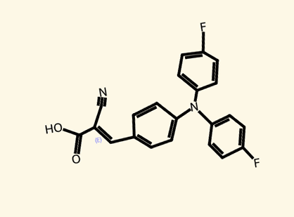 N#C/C(=C\c1ccc(N(c2ccc(F)cc2)c2ccc(F)cc2)cc1)C(=O)O